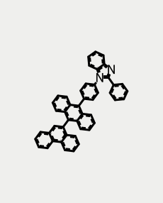 c1ccc(-c2nc3ccccc3n2-c2ccc(-c3c4ccccc4c(-c4cc5ccccc5c5ccccc45)c4ccccc34)cc2)cc1